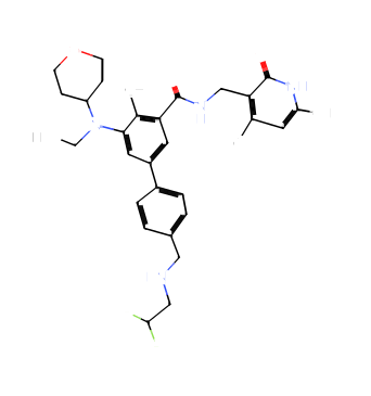 CCN(c1cc(-c2ccc(CNCC(F)F)cc2)cc(C(=O)NCc2c(C)cc(C)[nH]c2=O)c1C)C1CCOCC1